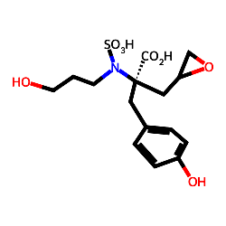 O=C(O)[C@@](Cc1ccc(O)cc1)(CC1CO1)N(CCCO)S(=O)(=O)O